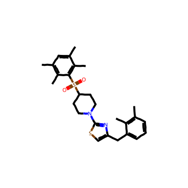 Cc1cccc(Cc2csc(N3CCC(S(=O)(=O)c4c(C)c(C)cc(C)c4C)CC3)n2)c1C